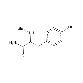 CC(C)(C)NC(Cc1ccc(O)cc1)C(N)=O